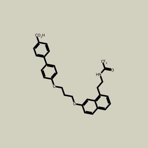 O=C(O)c1ccc(-c2ccc(OCCCOc3ccc4cccc(CCNC(=O)C(F)(F)F)c4c3)cc2)cc1